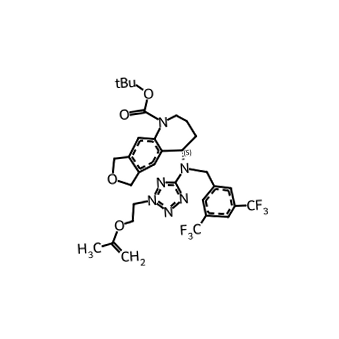 C=C(C)OCCn1nnc(N(Cc2cc(C(F)(F)F)cc(C(F)(F)F)c2)[C@H]2CCCN(C(=O)OC(C)(C)C)c3cc4c(cc32)COC4)n1